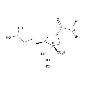 CC(C)[C@H](N)C(=O)N1C[C@H](CCCB(O)O)[C@](N)(C(=O)O)C1.Cl.Cl